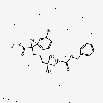 COC(=O)C(C)(CCCC(C)(C)CNC(=O)OCc1ccccc1)c1cccc(Br)c1